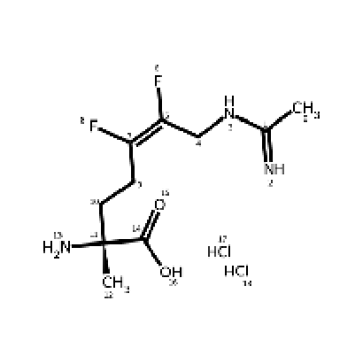 CC(=N)NC/C(F)=C(/F)CC[C@@](C)(N)C(=O)O.Cl.Cl